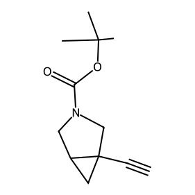 C#CC12CC1CN(C(=O)OC(C)(C)C)C2